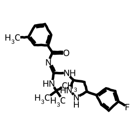 Cc1cccc(C(=O)/N=C(\NC2CC(c3ccc(F)cc3)NN2)NC(C)(C)C)c1